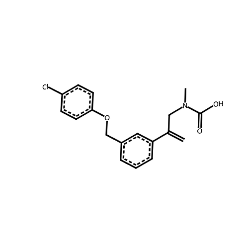 C=C(CN(C)C(=O)O)c1cccc(COc2ccc(Cl)cc2)c1